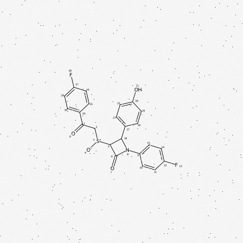 O=C(C[S+]([O-])C1C(=O)N(c2ccc(F)cc2)C1c1ccc(O)cc1)c1ccc(F)cc1